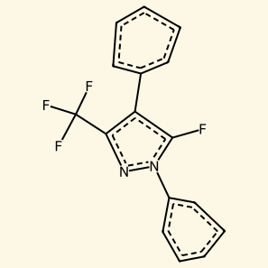 Fc1c(-c2ccccc2)c(C(F)(F)F)nn1-c1ccccc1